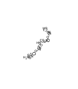 NS(=O)(=O)c1nc2ccc(OCc3cn(CC(=O)N[C@H](CSCc4cccc(OCc5cn(C(CO)CF)nn5)c4)C(=O)O)nn3)cc2s1